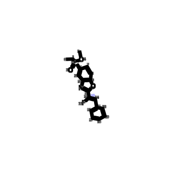 CCP(=O)(OC)c1ccc2oc(/C(F)=C/c3ccccc3)nc2c1